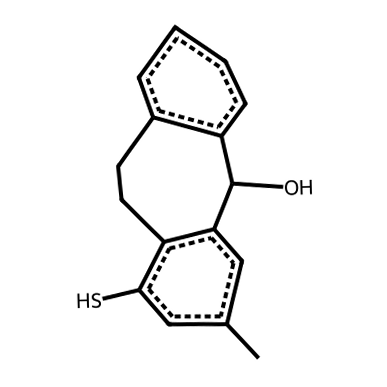 Cc1cc(S)c2c(c1)C(O)c1ccccc1CC2